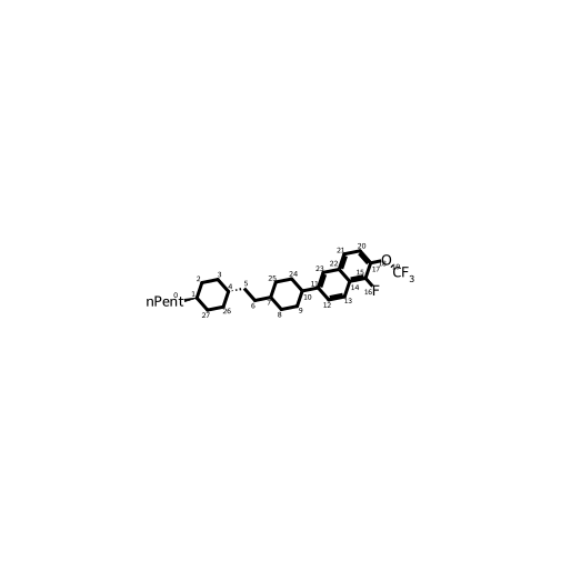 CCCCC[C@H]1CC[C@H](CCC2CCC(c3ccc4c(F)c(OC(F)(F)F)ccc4c3)CC2)CC1